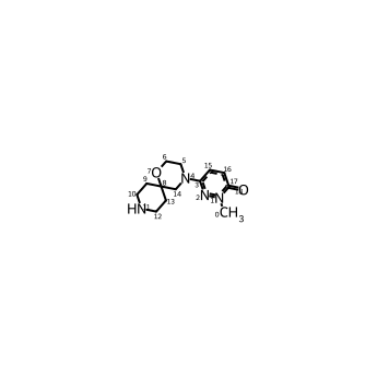 Cn1nc(N2CCOC3(CCNCC3)C2)ccc1=O